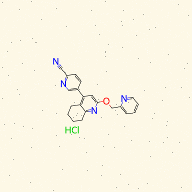 Cl.N#Cc1ccc(-c2cc(OCc3ccccn3)nc3c2CCCC3)cn1